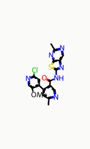 COc1cnc(Cl)cc1-c1cc(C)ncc1C(=O)Nc1nc2cnc(C)nc2s1